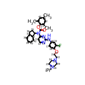 Cc1cc(C)c(OC(=O)N(c2ccnc(Nc3ccc(OCCN4CCN(C(C)C)CC4)c(F)c3)n2)C2CCc3ccccc32)c(C)c1